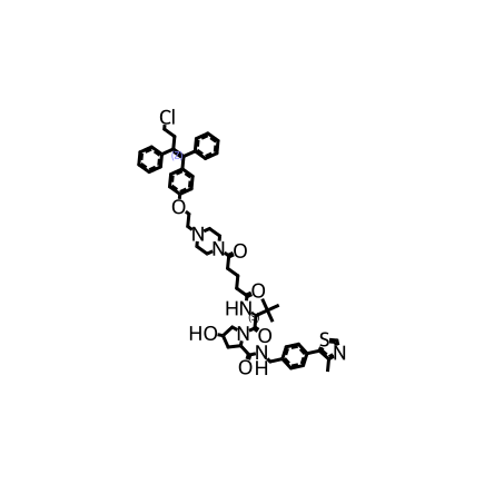 Cc1ncsc1-c1ccc(CNC(=O)C2CC(O)CN2C(=O)[C@@H](NC(=O)CCCC(=O)N2CCN(CCOc3ccc(/C(=C(/CCCl)c4ccccc4)c4ccccc4)cc3)CC2)C(C)(C)C)cc1